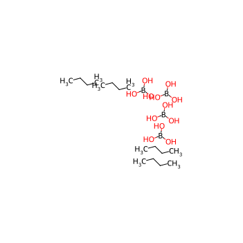 CCCC.CCCC.CCCC.CCCC.OB(O)O.OB(O)O.OB(O)O.OB(O)O